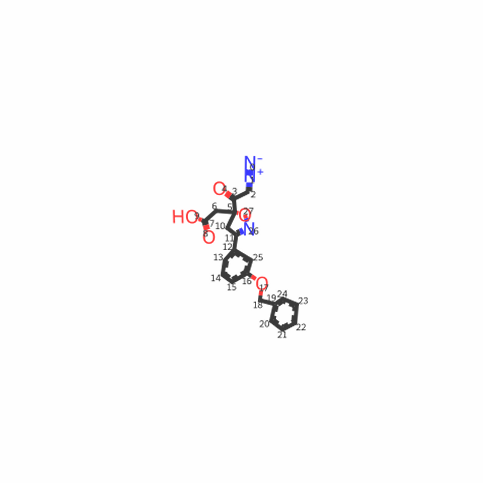 [N-]=[N+]=CC(=O)C1(CC(=O)O)CC(c2cccc(OCc3ccccc3)c2)=NO1